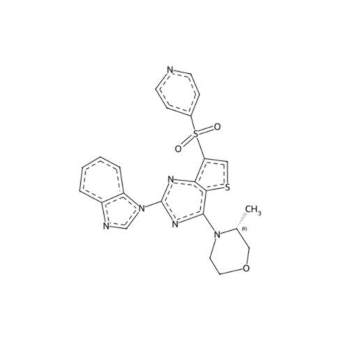 C[C@@H]1COCCN1c1nc(-n2cnc3ccccc32)nc2c(S(=O)(=O)c3ccncc3)csc12